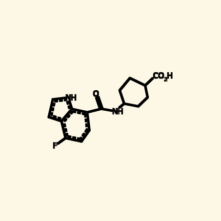 O=C(NC1CCC(C(=O)O)CC1)c1ccc(F)c2cc[nH]c12